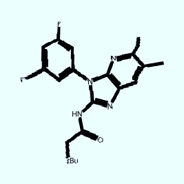 Cc1cc2nc(NC(=O)CC(C)(C)C)n(-c3cc(F)cc(F)c3)c2nc1C